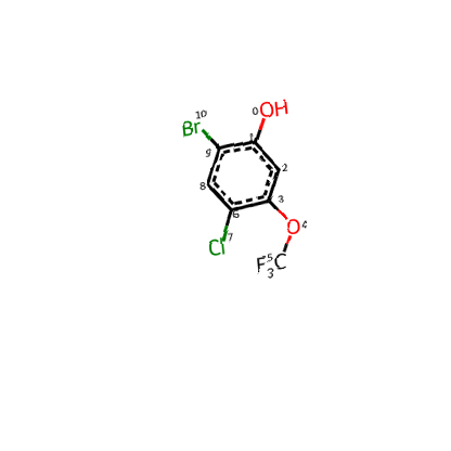 Oc1cc(OC(F)(F)F)c(Cl)cc1Br